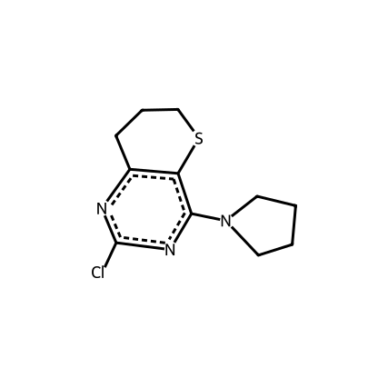 Clc1nc2c(c(N3CCCC3)n1)SCCC2